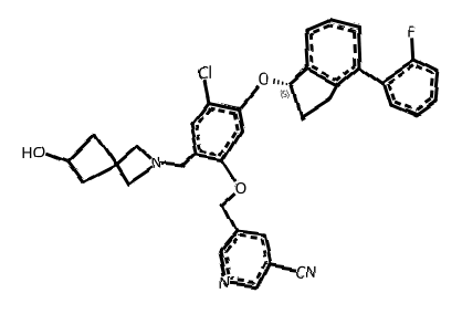 N#Cc1cncc(COc2cc(O[C@H]3CCc4c(-c5ccccc5F)cccc43)c(Cl)cc2CN2CC3(CC(O)C3)C2)c1